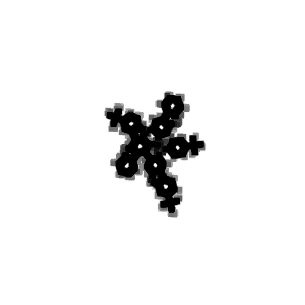 CC(C)(C)c1ccc(Nc2cc3c(cc2-c2c4c5c(c6cc(C(C)(C)C)ccc6n5-c5cc6c(cc5B4)oc4ccccc46)c4sc5ccccc5c24)sc2cc(C(C)(C)C)ccc23)cc1